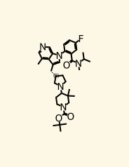 Cc1cncc2c1c(C[C@@H]1CCN(C3CCN(C(=O)OC(C)(C)C)CC3(C)C)C1)cn2-c1ccc(F)cc1C(=O)N(C)C(C)C